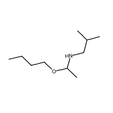 CCCCOC(C)NCC(C)C